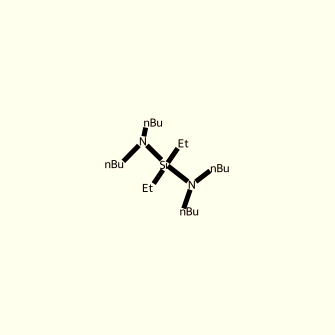 CCCCN(CCCC)[Si](CC)(CC)N(CCCC)CCCC